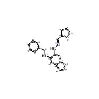 C(=N\Nc1nc2nonc2nc1NCc1ccccc1)/c1ccco1